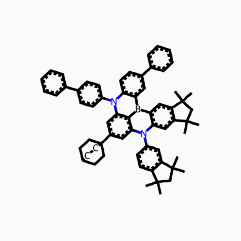 CC1(C)CC(C)(C)c2cc(N3c4cc5c(cc4B4c6cc(-c7ccccc7)ccc6N(c6ccc(-c7ccccc7)cc6)c6cc(C78CCC(CC7)CC8)cc3c64)C(C)(C)CC5(C)C)ccc21